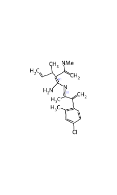 C=CC(C)/C(C(=C)NC)=C(N)/N=C(\C)C(=C)c1ccc(Cl)cc1C